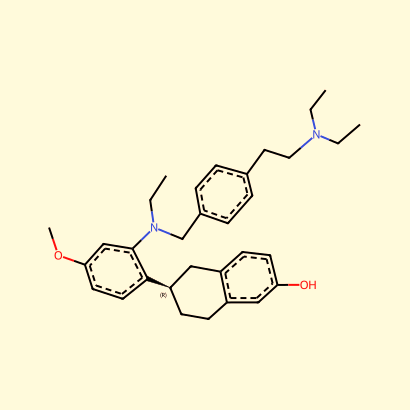 CCN(CC)CCc1ccc(CN(CC)c2cc(OC)ccc2[C@@H]2CCc3cc(O)ccc3C2)cc1